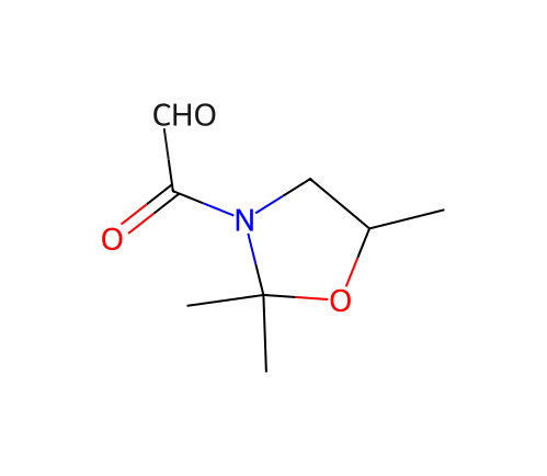 CC1CN(C(=O)C=O)C(C)(C)O1